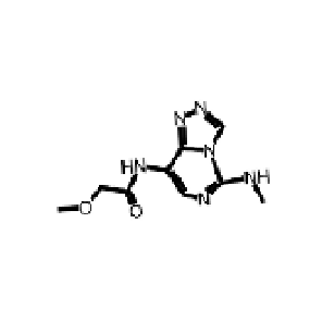 CNc1ncc(NC(=O)COC)c2nncn12